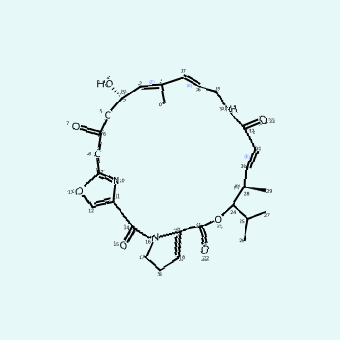 CC1=C\[C@@H](O)CC(=O)Cc2nc(co2)C(=O)N2CCC=C2C(=O)OC(C(C)C)[C@H](C)/C=C/C(=O)NC\C=C\1